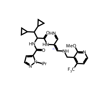 COc1nccc(C(F)(F)F)c1CN/C=C(\C=N)NC(=O)C(NC(=O)c1ccnn1C(C)C)C(C1CC1)C1CC1